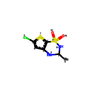 CCC(C)C1Nc2cc(Cl)sc2S(=O)(=O)N1